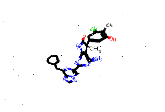 C[C@]1(c2cc(O)c(C#N)c(Cl)c2)C(=O)Nc2nc(-c3cn4ncnc4c(CC4CCCCC4)n3)nc(N)c21